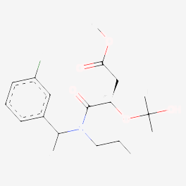 CCCN(C(=O)[C@@H](CC(=O)OC)OC(C)(C)O)C(C)c1cccc(Cl)c1